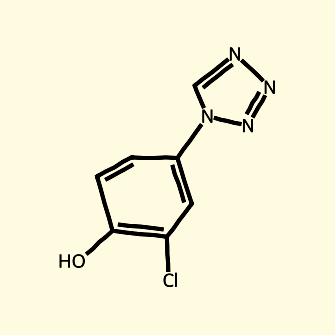 Oc1ccc(-n2cnnn2)cc1Cl